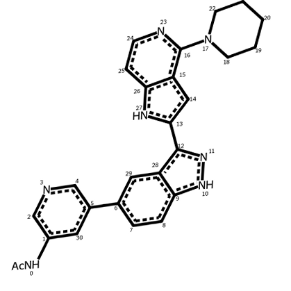 CC(=O)Nc1cncc(-c2ccc3[nH]nc(-c4cc5c(N6CCCCC6)nccc5[nH]4)c3c2)c1